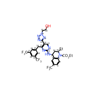 CCOC(=O)N1c2ccc(C(F)(F)F)cc2[C@@H](Nc2ncc(-c3nnn(CCO)n3)c(Cc3cc(C(F)(F)F)cc(C(F)(F)F)c3)n2)C[C@H]1CC